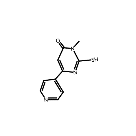 Cn1c(S)nc(-c2ccncc2)cc1=O